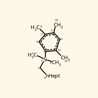 CCCCCCCC[Si](C)(C)c1cc(C)c(C)cc1C